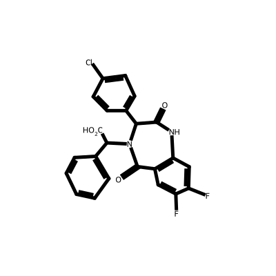 O=C(O)C(c1ccccc1)N1C(=O)c2cc(F)c(F)cc2NC(=O)C1c1ccc(Cl)cc1